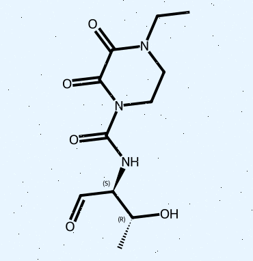 CCN1CCN(C(=O)N[C@H](C=O)[C@@H](C)O)C(=O)C1=O